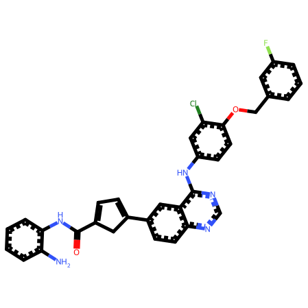 Nc1ccccc1NC(=O)C1=CC=C(c2ccc3ncnc(Nc4ccc(OCc5cccc(F)c5)c(Cl)c4)c3c2)C1